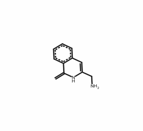 C=C1NC(CN)=Cc2ccccc21